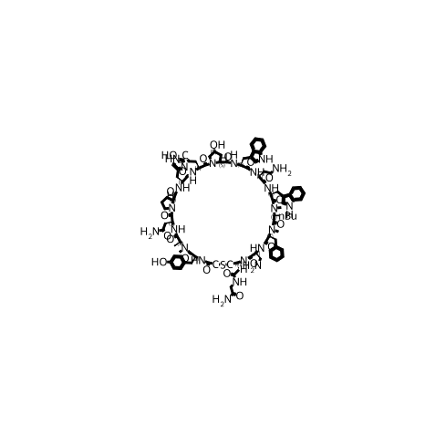 CCCC[C@H]1C(=O)N(C)[C@@H](Cc2ccccc2)C(=O)N[C@@H](CN)C(=O)N[C@H](CC(=O)NCC(N)=O)CSCC(=O)N[C@@H](Cc2ccc(O)cc2)C(=O)N(C)[C@@H](C)C(=O)N[C@@H](CC(N)=O)C(=O)N2CCC[C@H]2C(=O)N[C@@H](Cc2c[nH]cn2)C(=O)N[C@@H](CCC(=O)O)C(=O)N2C[C@H](O)C[C@H]2C(=O)N[C@@H](Cc2c[nH]c3ccccc23)C(=O)N[C@@H](CCN)C(=O)N[C@@H](Cc2c[nH]c3ccccc23)C(=O)N1C